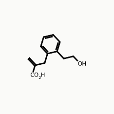 C=C(Cc1ccccc1CCO)C(=O)O